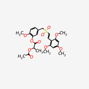 COc1cc(OC)c(/C=C/S(=O)(=O)Cc2ccc(OC)c(OC(=O)C(C)OC(C)=O)c2)c(OC)c1